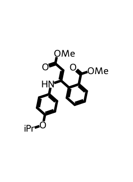 COC(=O)C=C(Nc1ccc(OC(C)C)cc1)c1ccccc1C(=O)OC